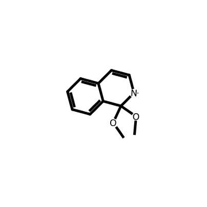 COC1(OC)[N]C=Cc2ccccc21